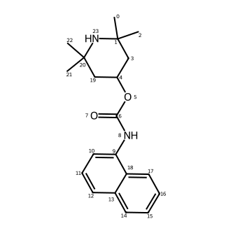 CC1(C)CC(OC(=O)Nc2cccc3ccccc23)CC(C)(C)N1